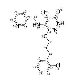 O=c1[nH]nc(OCCCc2ccccc2Cl)c(NCc2cccnc2)c1Cl